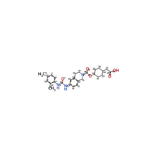 Cc1ccc(NC(=O)Nc2ccc3c(c2)CCN(C(=O)OC2CCC(CC(=O)O)CC2)C3)c(C)c1